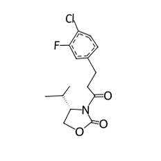 CC(C)[C@H]1COC(=O)N1C(=O)CCc1ccc(Cl)c(F)c1